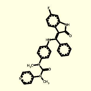 CN(C(=O)N(C)c1ccc(NC(=C2C(=O)Nc3cc(F)ccc32)c2ccccc2)cc1)c1ccncc1